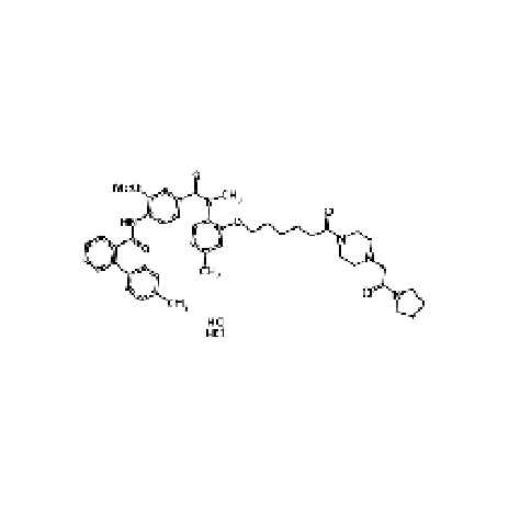 COc1cc(C(=O)N(C)c2ccc(C)cc2OCCCCCC(=O)N2CCN(CC(=O)N3CCCC3)CC2)ccc1NC(=O)c1ccccc1-c1ccc(C)cc1.Cl.Cl